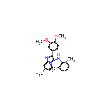 COc1ccc(-c2nc3cc(C)ccn3c2Nc2c(C)cccc2C)cc1OC